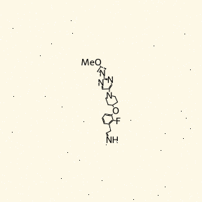 COC1CN(c2ncc(N3CCC(Oc4cccc(CC=N)c4F)CC3)cn2)C1